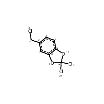 ClCc1ccc2c(c1)OC(Cl)(Cl)O2